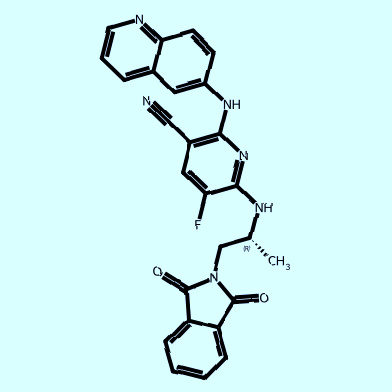 C[C@H](CN1C(=O)c2ccccc2C1=O)Nc1nc(Nc2ccc3ncccc3c2)c(C#N)cc1F